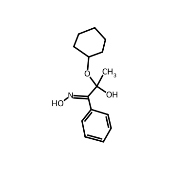 CC(O)(OC1CCCCC1)C(=NO)c1ccccc1